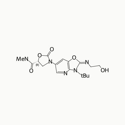 CNC(=O)[C@H]1CN(c2cnc3c(c2)oc(=NCCO)n3C(C)(C)C)C(=O)O1